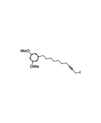 COc1cc(CCCCCCCC#CCI)cc(OC)c1